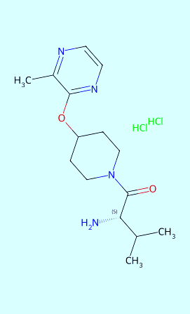 Cc1nccnc1OC1CCN(C(=O)[C@@H](N)C(C)C)CC1.Cl.Cl